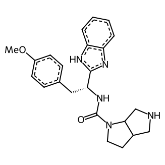 COc1ccc(C[C@@H](NC(=O)N2CCC3CNCC32)c2nc3ccccc3[nH]2)cc1